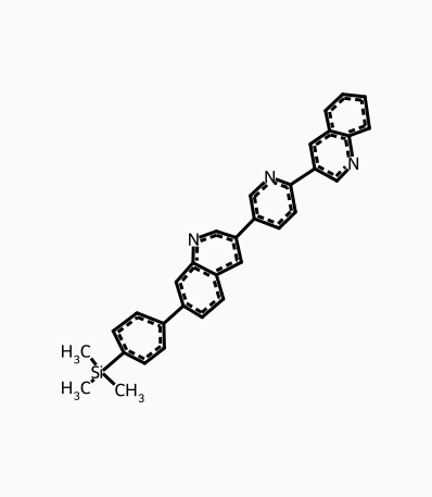 C[Si](C)(C)c1ccc(-c2ccc3cc(-c4ccc(-c5cnc6ccccc6c5)nc4)cnc3c2)cc1